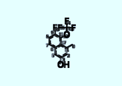 Cc1cc(O)cc2ccc(F)c(OC(F)(F)F)c12